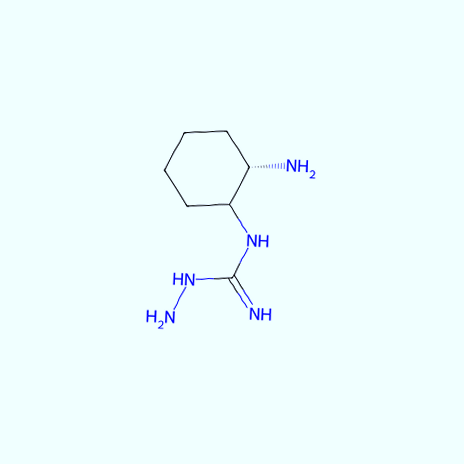 N=C(NN)NC1CCCC[C@@H]1N